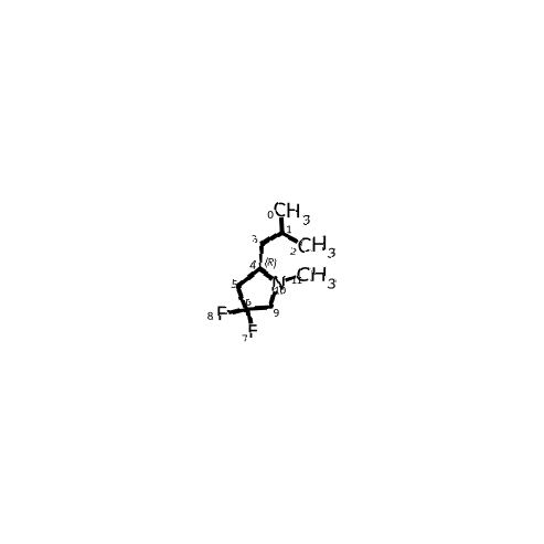 CC(C)C[C@@H]1CC(F)(F)CN1C